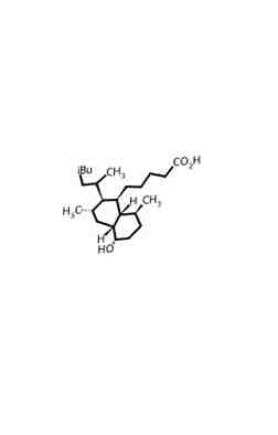 CCC(C)CC(C)[C@H]1[C@@H](CCCCC(=O)O)[C@H]2[C@@H](C[C@@H]1C)[C@@H](O)CC[C@@H]2C